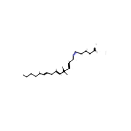 CCCCCC=CCC=CC(C)(C)C=CC/C=C\CCCC(=O)O